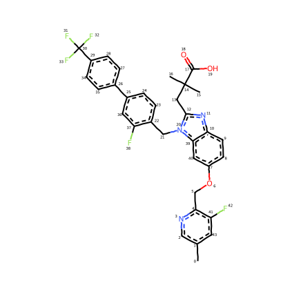 Cc1cnc(COc2ccc3nc(CC(C)(C)C(=O)O)n(Cc4ccc(-c5ccc(C(F)(F)F)cc5)cc4F)c3c2)c(F)c1